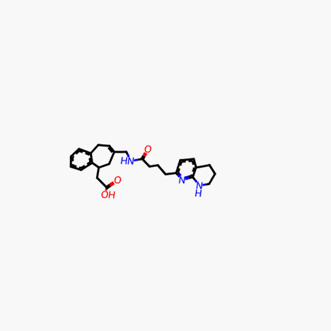 O=C(O)CC1CC(CNC(=O)CCCc2ccc3c(n2)NCCC3)=CCc2ccccc21